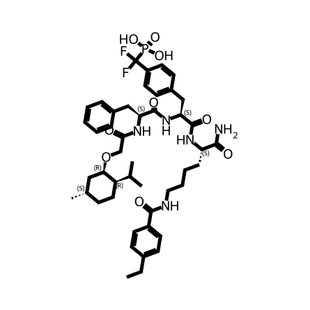 CCc1ccc(C(=O)NCCCC[C@H](NC(=O)[C@H](Cc2ccc(C(F)(F)P(=O)(O)O)cc2)NC(=O)[C@H](Cc2ccccc2)NC(=O)CO[C@@H]2C[C@@H](C)CC[C@@H]2C(C)C)C(N)=O)cc1